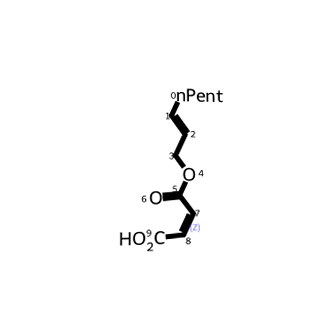 CCCCCC=CCOC(=O)/C=C\C(=O)O